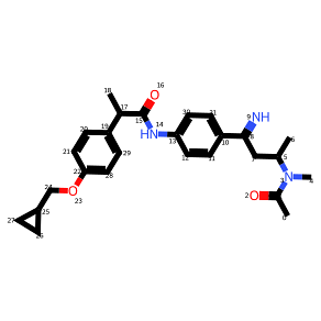 CC(=O)N(C)C(C)CC(=N)c1ccc(NC(=O)C(C)c2ccc(OCC3CC3)cc2)cc1